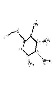 C[C@@H]1OC(OF)[C@@H](O)[C@H](O)[C@@H]1O